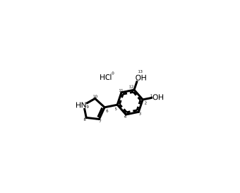 Cl.Oc1ccc(C2=CCNC2)cc1O